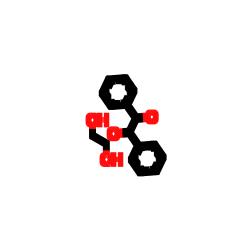 O=C(C(=O)c1ccccc1)c1ccccc1.OCCO